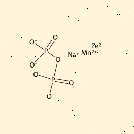 O=P([O-])([O-])OP(=O)([O-])[O-].[Fe+2].[Mn+2].[Na+]